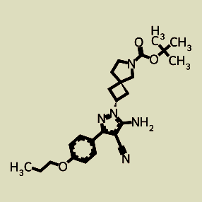 CCCOc1ccc(-c2nn([C@H]3C[C@]4(CCN(C(=O)OC(C)(C)C)C4)C3)c(N)c2C#N)cc1